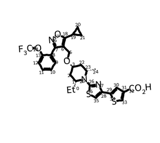 CC[C@@H]1C[C@H](OCc2c(-c3ccccc3OC(F)(F)F)noc2C2CC2)C[C@H](C)N1c1nc(-c2cc(C(=O)O)cs2)cs1